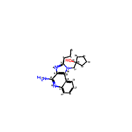 CCCc1nc2c(N)nc3ccccc3c2n1CC1(O)CCCC1